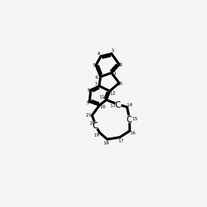 [CH]1c2ccccc2-c2ccc3c(c21)CCCCCCCCC3